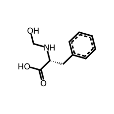 O=C(O)[C@@H](Cc1ccccc1)NCO